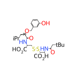 CC(C)C[C@@H](OCc1cccc(O)c1)C(=O)NC(CSSCC(NC(=O)CC(C)(C)C)C(=O)O)C(=O)O